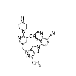 Cc1cc(Cn2nc(C)c3c2CN(c2ccc(C#N)c4ncccc24)C3)cnc1N1CCNCC1